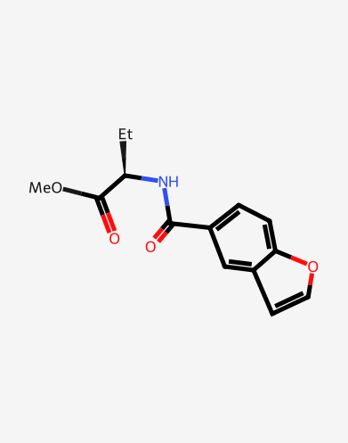 CC[C@@H](NC(=O)c1ccc2occc2c1)C(=O)OC